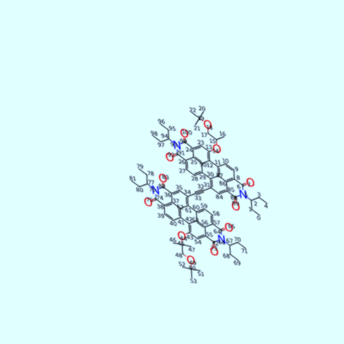 CCC(CC)N1C(=O)c2ccc3c4c(OC(C)COC(C)(C)C)cc5c6c(ccc(c7c(C#Cc8cc9c%10c(ccc%11c%12c(OC(C)(C)COC(C)(C)C)cc%13c%14c(ccc(c8c%10%11)c%14%12)C(=O)N(C(CC)CC)C%13=O)C(=O)N(C(CC)CC)C9=O)cc(c2c37)C1=O)c64)C(=O)N(C(CC)CC)C5=O